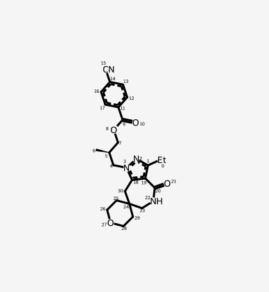 CCc1nn(C[C@@H](C)COC(=O)c2ccc(C#N)cc2)c2c1C(=O)NCC1(CCOCC1)C2